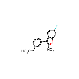 O=C(O)Cc1cccc(-c2c([N+](=O)[O-])oc3cc(F)ccc23)c1